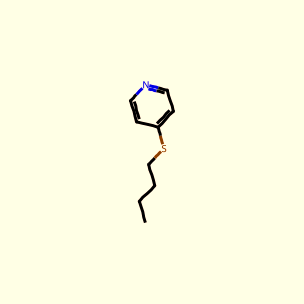 CCCCSc1ccncc1